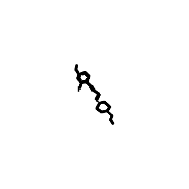 CCC[C@H]1CC[C@H](C=CC#Cc2ccc(CC)cc2F)CC1